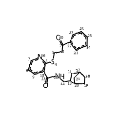 O=C(CCSc1ncccc1C(=O)NCC1CC2CCC1C2)c1ccccc1